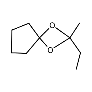 CCC1(C)OC2(CCCC2)O1